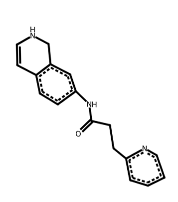 O=C(CCc1ccccn1)Nc1ccc2c(c1)CNC=C2